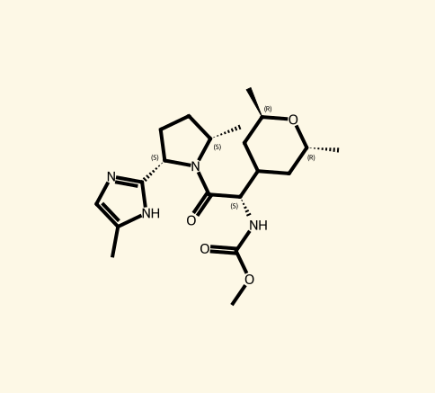 COC(=O)N[C@H](C(=O)N1[C@@H](C)CC[C@H]1c1ncc(C)[nH]1)C1C[C@@H](C)O[C@H](C)C1